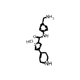 Cl.NCc1ccc(NC(=O)c2cc(C3=CCNCC3)cs2)cc1